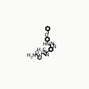 Cn1c(CN2CCCC2C(N)=O)cnc1-c1ccc2ncnc(Nc3ccc(OCc4ccccc4)cc3)c2c1